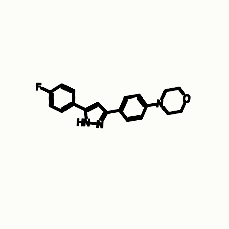 Fc1ccc(-c2cc(-c3ccc(N4CCOCC4)cc3)n[nH]2)cc1